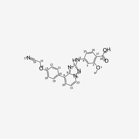 COc1cc(Nc2nc3c(-c4ccc(OCC#N)cc4)cccn3n2)ccc1C(=O)O